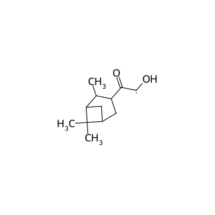 CC1C(C(=O)[CH]O)CC2CC1C2(C)C